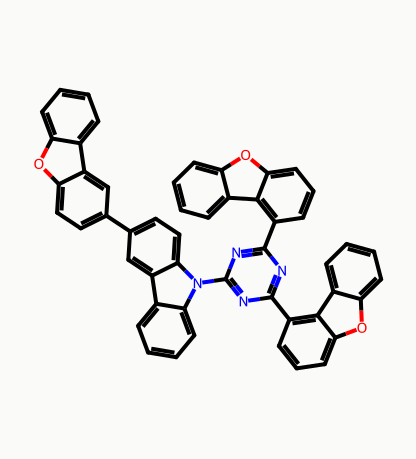 c1ccc2c(c1)oc1ccc(-c3ccc4c(c3)c3ccccc3n4-c3nc(-c4cccc5oc6ccccc6c45)nc(-c4cccc5oc6ccccc6c45)n3)cc12